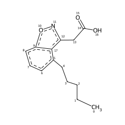 CCCCCc1cccc2onc(CC(=O)O)c12